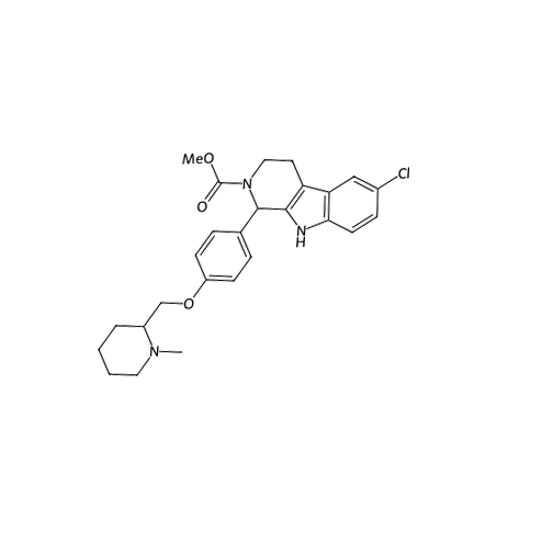 COC(=O)N1CCc2c([nH]c3ccc(Cl)cc23)C1c1ccc(OCC2CCCCN2C)cc1